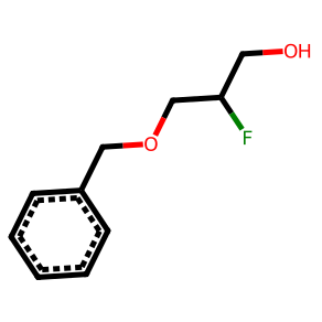 OCC(F)COCc1ccccc1